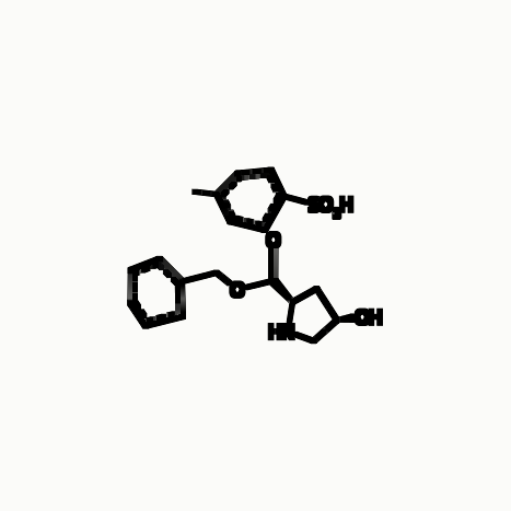 Cc1ccc(S(=O)(=O)O)cc1.O=C(OCc1ccccc1)[C@H]1C[C@@H](O)CN1